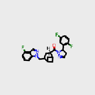 O=C([C@H]1CC(Cn2ncc3c(F)cccc32)C2CC1C2)N1N=CCC1c1cc(F)ccc1F